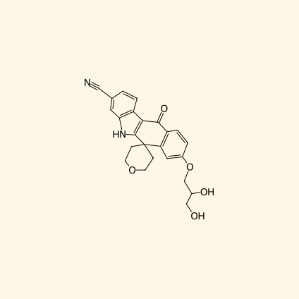 N#Cc1ccc2c3c([nH]c2c1)C1(CCOCC1)c1cc(OCC(O)CO)ccc1C3=O